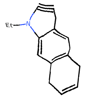 CCn1c#cc2cc3c(cc21)CC=CC3